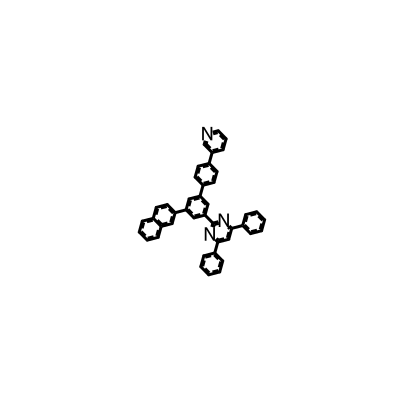 c1ccc(-c2cc(-c3ccccc3)nc(-c3cc(-c4ccc(-c5cccnc5)cc4)cc(-c4ccc5ccccc5c4)c3)n2)cc1